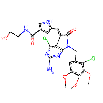 COc1cc(CN2C(=O)/C(=C/c3cc(C(=O)NCCO)c[nH]3)c3c(Cl)nc(N)nc32)c(Cl)c(OC)c1OC